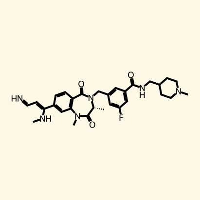 CN/C(=C\C=N)c1ccc2c(c1)N(C)C(=O)[C@@H](C)N(Cc1cc(F)cc(C(=O)NCC3CCN(C)CC3)c1)C2=O